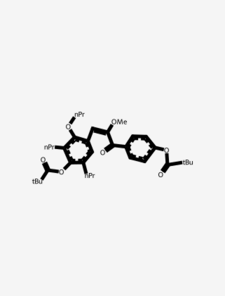 CCCOc1c(C=C(OC)C(=O)c2ccc(OC(=O)C(C)(C)C)cc2)cc(CCC)c(OC(=O)C(C)(C)C)c1CCC